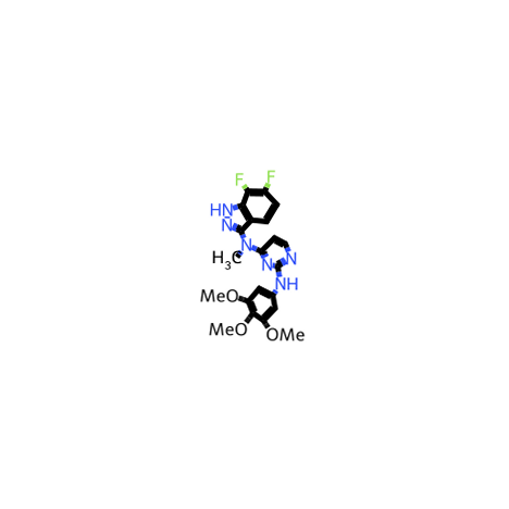 COc1cc(Nc2nccc(N(C)c3n[nH]c4c(F)c(F)ccc34)n2)cc(OC)c1OC